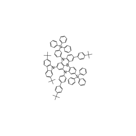 CC(C)(C)c1ccc(-c2ccc(N3c4cc([Si](c5ccccc5)(c5ccccc5)c5ccccc5)ccc4B4c5cc(-c6ccc(C(C)(C)C)cc6)ccc5N(c5cccc([Si](c6ccccc6)(c6ccccc6)c6ccccc6)c5)c5cc(-n6c7cc(C(C)(C)C)ccc7c7ccc(C(C)(C)C)cc76)cc3c54)cc2)cc1